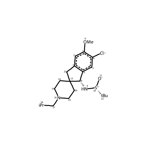 COc1cc2c(cc1Cl)[C@H](N[S@+]([O-])C(C)(C)C)C1(CCN(C[C](C)C)CC1)C2